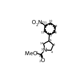 COC(=O)N1CCC(c2cccc([N+](=O)[O-])c2)C1